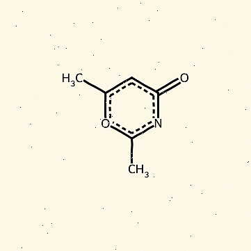 Cc1cc(=O)nc(C)o1